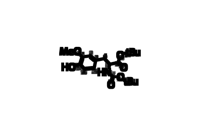 COc1cc(CC(NC(=O)OC(C)(C)C)C(=O)OC(C)(C)C)ccc1O